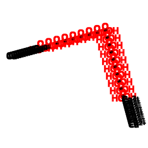 O=C(O)O.O=C(O)O.O=C(O)O.O=C(O)O.O=C(O)O.O=C(O)O.O=C(O)O.O=C(O)O.O=C(O)O.O=C(O)O.O=C(O)O.O=C(O)O.O=C(O)O.O=C(O)O.O=C(O)O.O=C(O)O.O=C(O)O.O=C(O)O.[Ca+2].[Ca+2].[Ca+2].[Ca+2].[Ca+2].[Ca+2].[Ca+2].[Ca+2].[Ca+2].[Ca+2].[Ca+2].[Ca+2].[Ca+2].[Ca+2].[Ca+2].[Ca+2].[Ca+2].[Ca+2].[Ca+2].[Ca+2].[Ca+2].[Ca+2].[Ca+2].[Ca+2].[Ca+2]